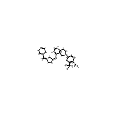 COC1=C(C(F)(F)F)CN(N2CCc3ncnc(OC4CCN(C(=O)N5CCOCC5)C4)c3C2)C=N1